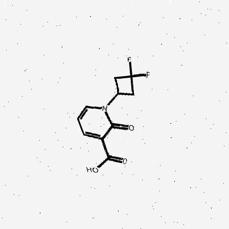 O=C(O)c1cccn(C2CC(F)(F)C2)c1=O